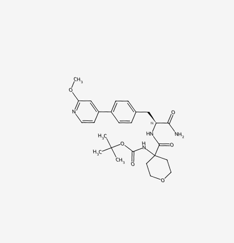 COc1cc(-c2ccc(C[C@H](NC(=O)C3(NC(=O)OC(C)(C)C)CCOCC3)C(N)=O)cc2)ccn1